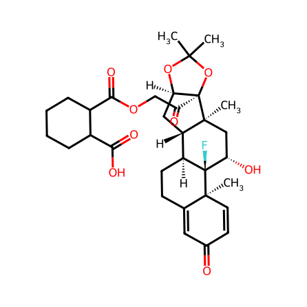 CC1(C)O[C@@H]2C[C@H]3[C@@H]4CCC5=CC(=O)C=C[C@]5(C)[C@@]4(F)[C@@H](O)C[C@]3(C)[C@]2(C(=O)COC(=O)C2CCCCC2C(=O)O)O1